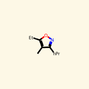 CCCc1noc(CC)c1C